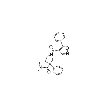 CN(C)C(=O)C1(c2ccccc2)CCN(C(=O)c2cnoc2-c2ccccc2)C1